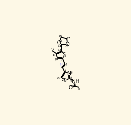 CC(=O)Nc1nc(/C=C/c2cc(C)c(C3OCCO3)s2)cs1